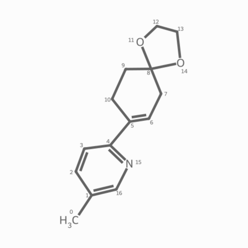 Cc1ccc(C2=CCC3(CC2)OCCO3)nc1